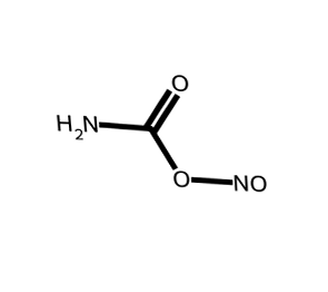 NC(=O)ON=O